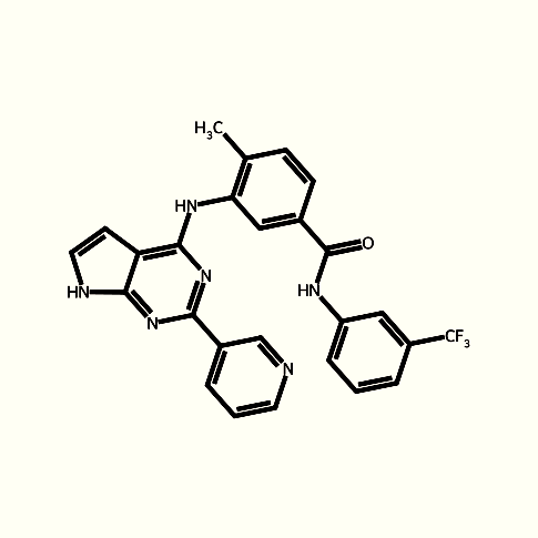 Cc1ccc(C(=O)Nc2cccc(C(F)(F)F)c2)cc1Nc1nc(-c2cccnc2)nc2[nH]ccc12